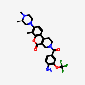 Cc1c(N2CCN(C)[C@@H](C)C2)ccc2c3c(c(=O)oc12)CN(C(=O)c1ccc(N)c(OC(F)(F)F)c1)CC3